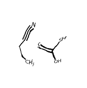 CCC#N.OC(=S)S